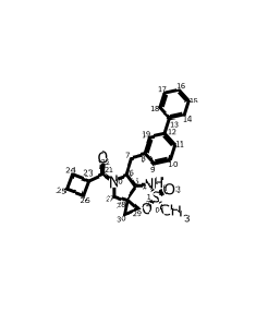 CS(=O)(=O)NC1C(Cc2cccc(-c3ccccc3)c2)N(C(=O)C2CCC2)CC12CC2